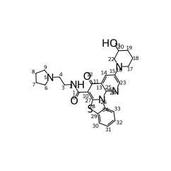 O=C(NCCN1CCCC1)c1c(=O)c2cc(N3CCCC(O)C3)cnc2n2c1sc1ccccc12